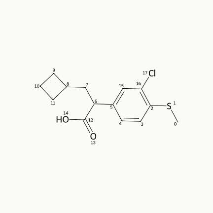 CSc1ccc(C(CC2CCC2)C(=O)O)cc1Cl